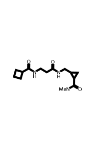 CNC(=O)C1CC1CNC(=O)CCNC(=O)C1CCC1